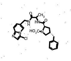 CC(NC(=O)[C@H]1C[C@H](Cc2ccccc2)CN1C(=O)O)C(=O)NCc1ccc2ncc(Cl)n2c1